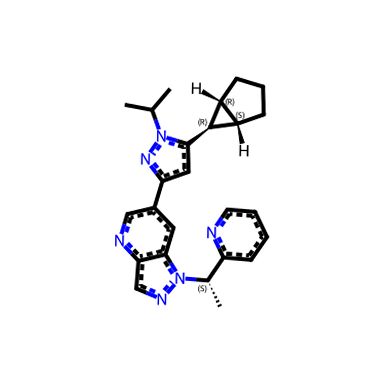 CC(C)n1nc(-c2cnc3cnn([C@@H](C)c4ccccn4)c3c2)cc1[C@H]1[C@@H]2CCC[C@@H]21